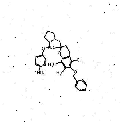 Cc1c(C)c2c(c(C)c1OCc1ccccc1)CCC(C)(CN1CCCC1COc1ccc(N)cc1)O2